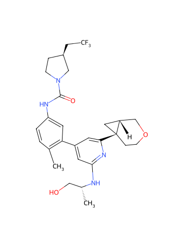 Cc1ccc(NC(=O)N2CC[C@@H](CC(F)(F)F)C2)cc1-c1cc(N[C@H](C)CO)nc([C@]23CCOC[C@H]2C3)c1